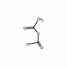 CC(=O)OC(=O)Cl